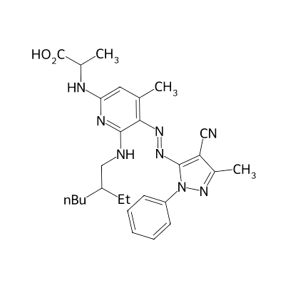 CCCCC(CC)CNc1nc(NC(C)C(=O)O)cc(C)c1N=Nc1c(C#N)c(C)nn1-c1ccccc1